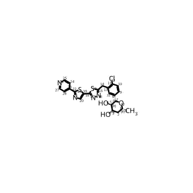 C[C@@H]1C[C@H](O)[C@@H](O)[C@H](c2ccc(Cl)c(Cc3nnc(-c4cnc(-c5ccncc5)s4)s3)c2)O1